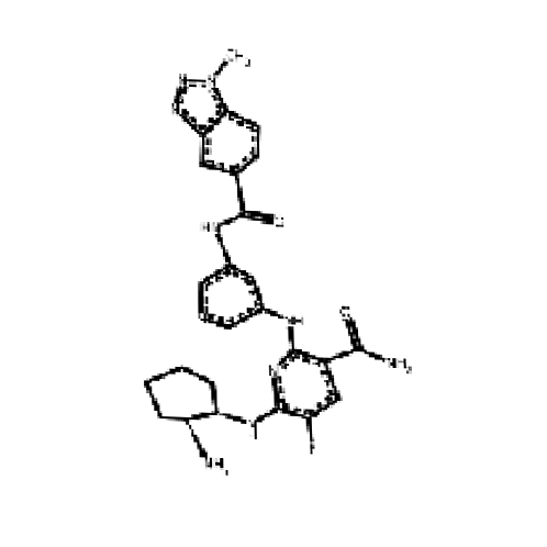 Cn1nnc2cc(C(=O)Nc3cncc(Nc4nc(N[C@@H]5CCCC[C@@H]5N)c(F)cc4C(N)=O)c3)ccc21